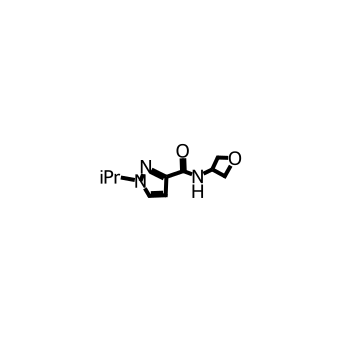 CC(C)n1ccc(C(=O)NC2COC2)n1